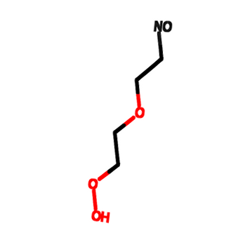 O=NCCOCCOO